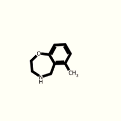 Cc1cccc2c1CNCCO2